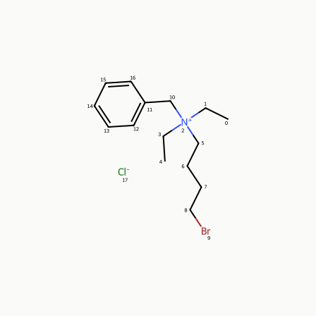 CC[N+](CC)(CCCCBr)Cc1ccccc1.[Cl-]